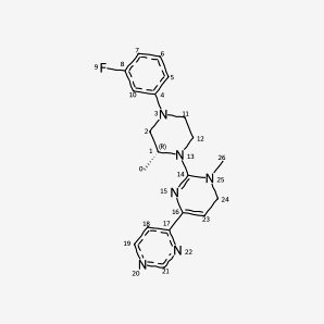 C[C@@H]1CN(c2cccc(F)c2)CCN1C1=NC(c2ccncn2)=CCN1C